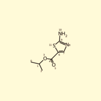 CC(C)OC(=O)c1cnc(N)s1